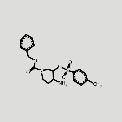 Cc1ccc(S(=O)(=O)OC2CN(C(=O)OCc3ccccc3)CCC2N)cc1